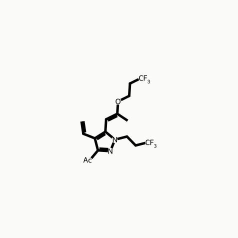 C=Cc1c(C(C)=O)nn(CCC(F)(F)F)c1/C=C(\C)OCCC(F)(F)F